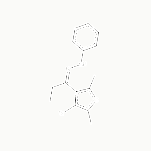 CCC(=NNc1ccccc1)c1c(C)sc(C)c1Br